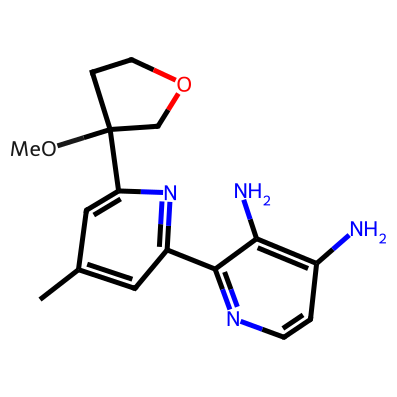 COC1(c2cc(C)cc(-c3nccc(N)c3N)n2)CCOC1